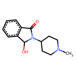 CN1CCC(N2C(=O)c3ccccc3C2O)CC1